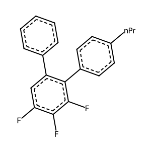 CCCc1ccc(-c2c(-c3ccccc3)cc(F)c(F)c2F)cc1